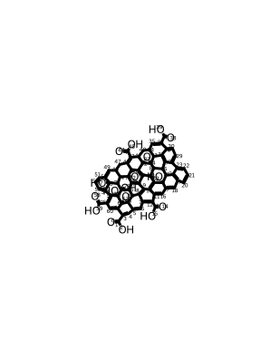 O=C(O)C1=CC2=Cc3c4c5c6c(c3C(=O)O)=CC3=Cc7cccc8c7C7C9c%10c-8ccc8c%10C%10C(C=C8C(=O)O)CC8C(C(=O)O)=C%11CC%12C=C%13C=CC=C%14C%15=C(C(=O)O)C=C1C1%16OC21C4C1C2=C5C4=C(C%115OC25C%12C(C%13%14O)C1(O)C%15%16O)C81OC%101C9C4C=6C37O